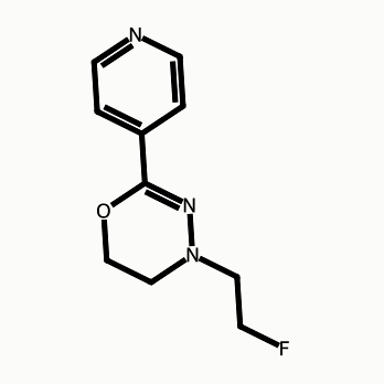 FCCN1CCOC(c2ccncc2)=N1